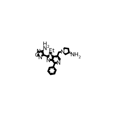 CCn1c(-c2nonc2N)nc2c(-c3ccccc3)ncc(CN3CC[C@H](N)C3)c21